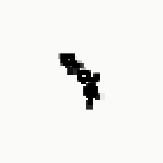 CCN(c1ccc(C#N)c(Cl)c1)[C@H]1CC[C@H](NC(=O)c2ccc(C)cc2)CC1